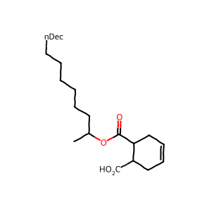 CCCCCCCCCCCCCCCCC(C)OC(=O)C1CC=CCC1C(=O)O